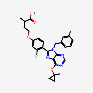 CC(CCOc1ccc(-c2nc3c(OC4(C)CC4)ncnc3n2Cc2cccc(I)c2)c(Cl)c1)C(=O)O